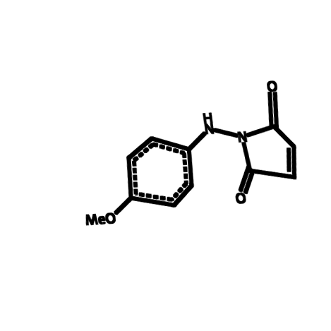 COc1ccc(NN2C(=O)C=CC2=O)cc1